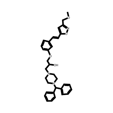 COCc1cc(/C=C/c2cccc(OCC(O)CN3CCN(C(c4ccccc4)c4ccccc4)CC3)c2)on1